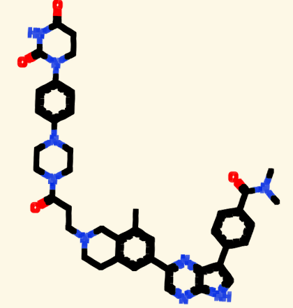 Cc1cc(-c2cnc3[nH]cc(-c4ccc(C(=O)N(C)C)cc4)c3n2)cc2c1CN(CCC(=O)N1CCN(c3ccc(N4CCC(=O)NC4=O)cc3)CC1)CC2